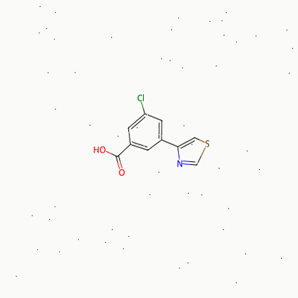 O=C(O)c1cc(Cl)cc(-c2cscn2)c1